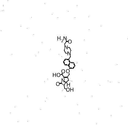 C[C@@H](O)[C@H]1C(=O)N2C(C(=O)O)=C(COc3cccc4c(CN5CCN(CC(N)=O)CC5)cccc34)[C@H](C)[C@H]12